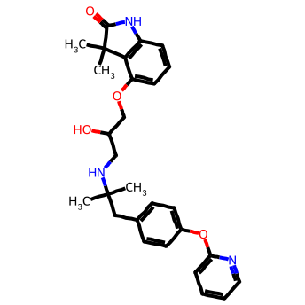 CC(C)(Cc1ccc(Oc2ccccn2)cc1)NCC(O)COc1cccc2c1C(C)(C)C(=O)N2